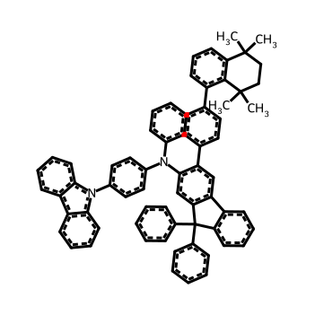 CC1(C)CCC(C)(C)c2c(-c3ccc(-c4cc5c(cc4N(c4ccccc4)c4ccc(-n6c7ccccc7c7ccccc76)cc4)C(c4ccccc4)(c4ccccc4)c4ccccc4-5)cc3)cccc21